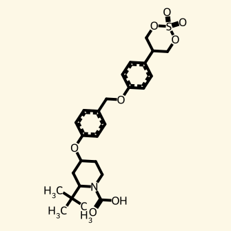 CC(C)(C)C1CC(Oc2ccc(COc3ccc(C4COS(=O)(=O)OC4)cc3)cc2)CCN1C(=O)O